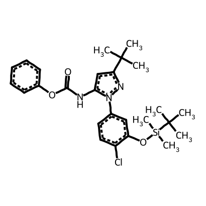 CC(C)(C)c1cc(NC(=O)Oc2ccccc2)n(-c2ccc(Cl)c(O[Si](C)(C)C(C)(C)C)c2)n1